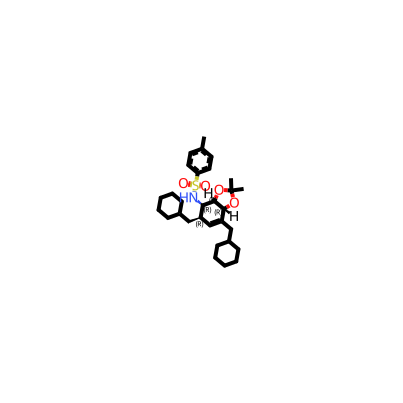 Cc1ccc(S(=O)(=O)N[C@H]2[C@@H]3OC(C)(C)O[C@@H]3C(CC3CCCCC3)=C[C@H]2CC2CCCCC2)cc1